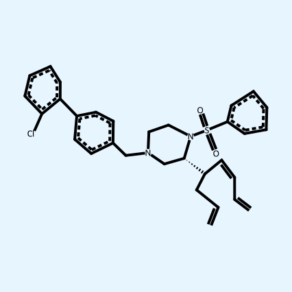 C=C/C=C\C(CC=C)[C@@H]1CN(Cc2ccc(-c3ccccc3Cl)cc2)CCN1S(=O)(=O)c1ccccc1